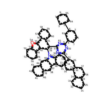 c1ccc(-c2cccc(-c3nc(-c4ccc5c(ccc6ccccc65)c4)nc(-c4c(-n5c6ccccc6c6cc7ccccc7cc65)c5c6ccccc6oc5c5ccccc45)n3)c2)cc1